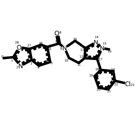 Cc1nc2ccc(C(=O)N3CCc4c(nn(C)c4-c4cccc(Cl)c4)C3)cc2o1